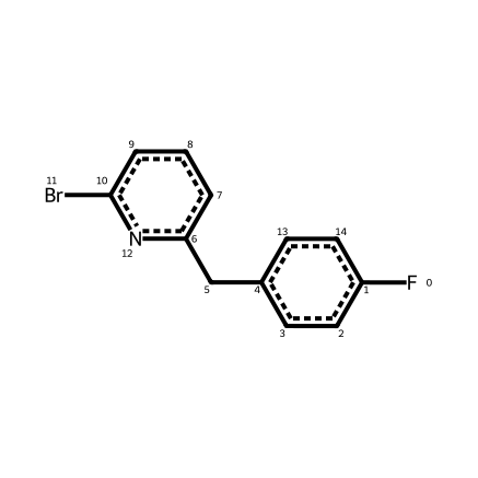 Fc1ccc(Cc2cccc(Br)n2)cc1